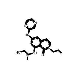 C[C@@H](CO)Nc1nc(Nc2cnccn2)cc2ccn(CCF)c(=O)c12